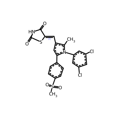 Cc1c(/C=C2\SC(=O)NC2=O)cc(-c2ccc(S(C)(=O)=O)cc2)n1-c1cc(Cl)cc(Cl)c1